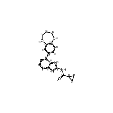 O=C(Nc1nc2cccc(-c3ccc4c(c3)OCCCO4)n2n1)C1CC1